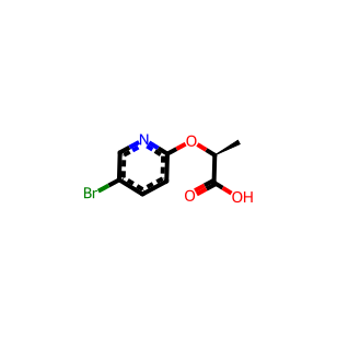 C[C@H](Oc1ccc(Br)cn1)C(=O)O